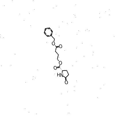 O=C1CC[C@@H](C(=O)OCCCC(=O)OCc2ccccc2)N1